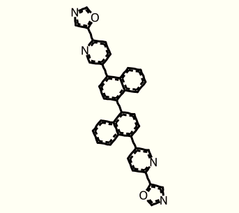 c1ccc2c(-c3ccc(-c4ccc(-c5cnco5)nc4)c4ccccc34)ccc(-c3ccc(-c4cnco4)nc3)c2c1